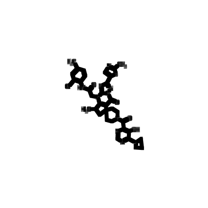 Cc1ncc(-c2nc3n(CC(=O)Nc4ccc(C(F)(F)F)cc4Cl)c4c(c(=O)n3n2)C2(CCN(C(=O)c3ncnc(N5CCC5)c3O)CC2)CC4C)s1